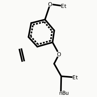 C=C.CCCCC(CC)COc1cccc(OCC)c1